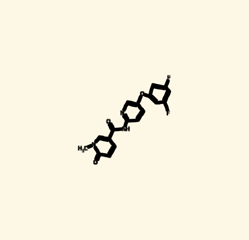 Cn1cc(C(=O)Nc2ccc(Oc3cc(F)cc(F)c3)cn2)ccc1=O